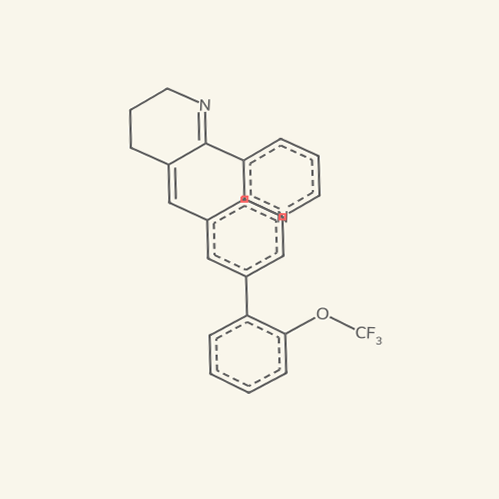 FC(F)(F)Oc1ccccc1-c1cccc(/C=C2/CCCN=C2c2cccnc2)c1